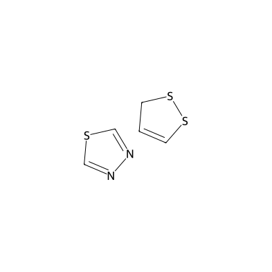 C1=CSSC1.c1nncs1